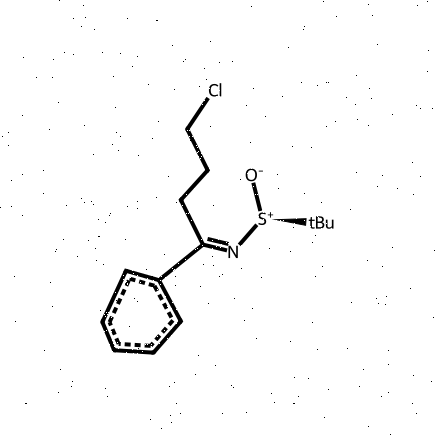 CC(C)(C)[S@+]([O-])/N=C(\CCCCl)c1ccccc1